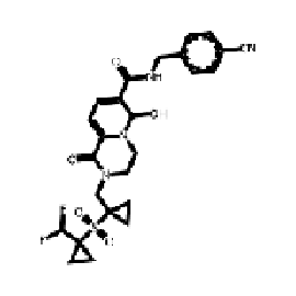 N#Cc1ccc(CNC(=O)C2=CC=C3C(=O)N(CC4(S(=O)(=O)C5(C(F)F)CC5)CC4)CCN3C2O)cc1